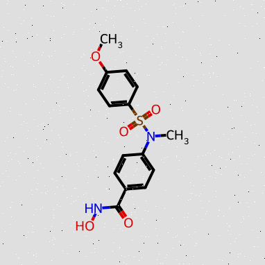 COc1ccc(S(=O)(=O)N(C)c2ccc(C(=O)NO)cc2)cc1